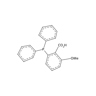 COc1cccc(P(c2ccccc2)c2ccccc2)c1C(=O)O